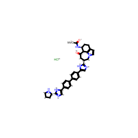 COC(=O)N[C@H]1CCc2ccn3c2C1C(=O)C[C@H](c1ncc(-c2ccc(-c4ccc(-c5cnc([C@@H]6CCCN6)[nH]5)cc4)cc2)[nH]1)C3.Cl